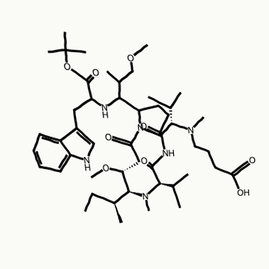 CC[C@H](C)[C@@H]([C@@H](CC(=O)N1CCCC1C(NC(Cc1c[nH]c2ccccc12)C(=O)OC(C)(C)C)C(C)COC)OC)N(C)[C@@H](C(=O)NC(=O)[C@H](C(C)C)N(C)CCCC(=O)O)C(C)C